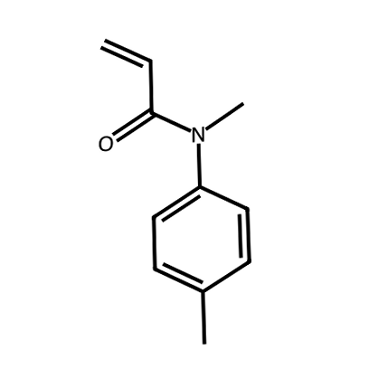 C=CC(=O)N(C)c1ccc(C)cc1